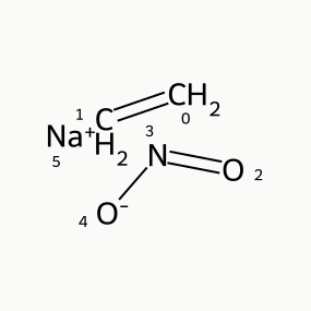 C=C.O=N[O-].[Na+]